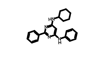 c1ccc(Nc2cc(NC3CCCCC3)nc(-c3ccccc3)n2)cc1